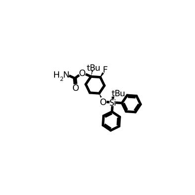 CC(C)(C)[C@@]1(OC(N)=O)CC[C@@H](O[Si](c2ccccc2)(c2ccccc2)C(C)(C)C)C[C@@H]1F